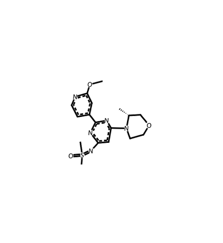 COc1cc(-c2nc(N=S(C)(C)=O)cc(N3CCOC[C@H]3C)n2)ccn1